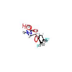 CN(CCOc1ccc(F)cc1F)C(=O)O